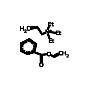 C=CC[N+](CC)(CC)CC.C=COC(=O)c1ccccc1